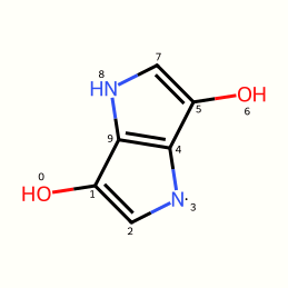 OC1=C[N]c2c(O)c[nH]c21